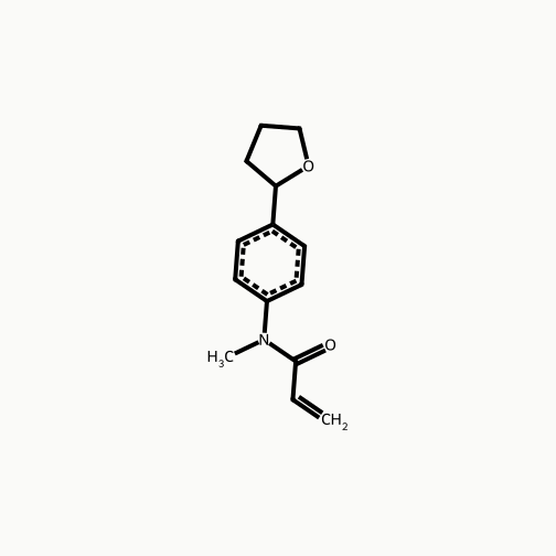 C=CC(=O)N(C)c1ccc(C2CCCO2)cc1